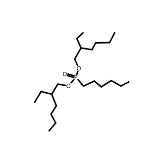 CCCCCCP(=O)(OCC(CC)CCCC)OCC(CC)CCCC